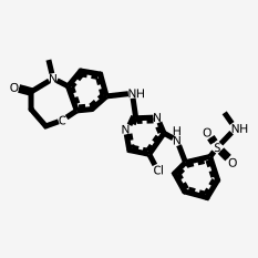 CNS(=O)(=O)c1ccccc1Nc1nc(Nc2ccc3c(c2)CCCC(=O)N3C)ncc1Cl